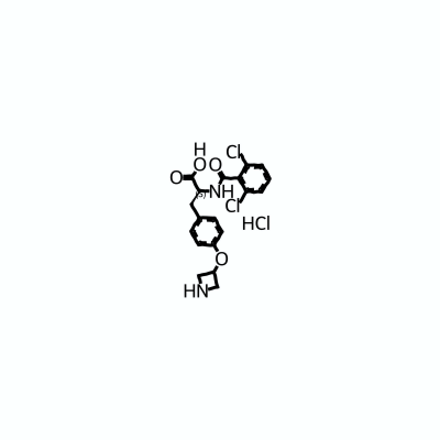 Cl.O=C(N[C@@H](Cc1ccc(OC2CNC2)cc1)C(=O)O)c1c(Cl)cccc1Cl